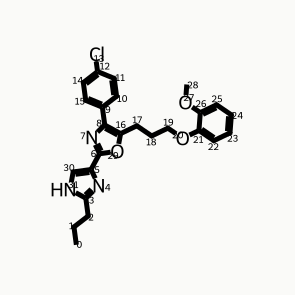 CCCc1nc(-c2nc(-c3ccc(Cl)cc3)c(CCCOc3ccccc3OC)o2)c[nH]1